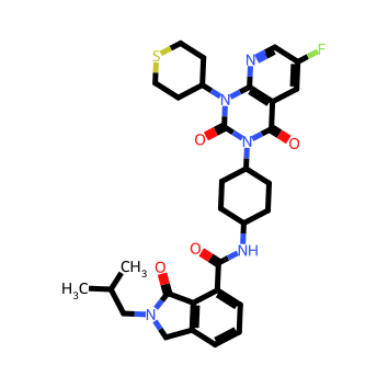 CC(C)CN1Cc2cccc(C(=O)NC3CCC(n4c(=O)c5cc(F)cnc5n(C5CCSCC5)c4=O)CC3)c2C1=O